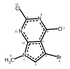 Cn1cc(Br)c2c(Cl)nc(Cl)nc21